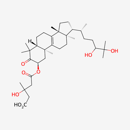 C[C@H](CCC(O)C(C)(C)O)[C@H]1CC[C@@]2(C)C3=C(CC[C@]12C)[C@@]1(C)C[C@@H](OC(=O)CC(C)(O)CC(=O)O)C(=O)C(C)(C)[C@@H]1CC3